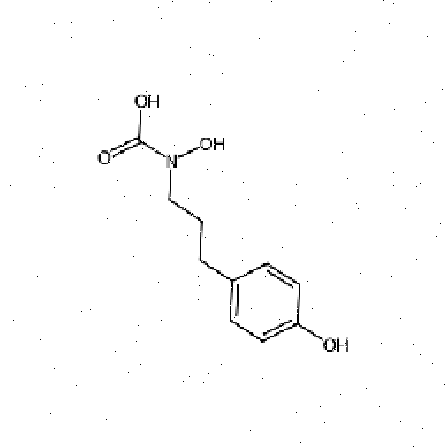 O=C(O)N(O)CCCc1ccc(O)cc1